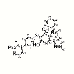 Cc1c(-c2ccc(Sc3c(O)nc(-c4ccn(C)n4)c(N(c4ccccc4)C(C)C)c3O)cc2)ccnc1F